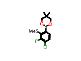 CSc1c(B2OCC(C)(C)CO2)ccc(Cl)c1F